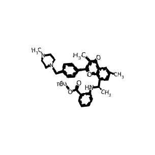 CCCCOC(=O)c1ccccc1N[C@H](C)c1cc(C)cc2c(=O)c(C)c(-c3ccc(CN4CCN(C)CC4)cc3)oc12